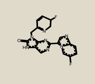 O=c1[nH]c2cnc(-c3cnc4ccc(F)cn34)nc2n1CC1=NCC(F)C=C1